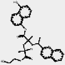 CCC(C)(CC(C)(CC(C)c1ccc2ccccc2c1)C(=O)Oc1cccc2c(O)cccc12)C(=O)OCCO